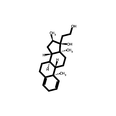 C[C@@H]1C[C@H]2[C@@H]3CCC4=CCC=C[C@]4(C)[C@H]3CC[C@]2(C)[C@@]1(O)CCO